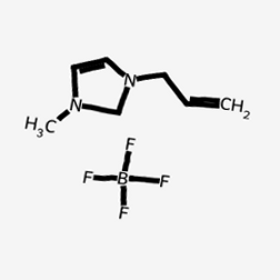 C=CCN1C=CN(C)C1.F[B-](F)(F)F